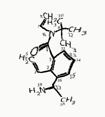 C=Cc1c(C(=O)N(C=C)C(C)(C)C)cccc1C(C)N